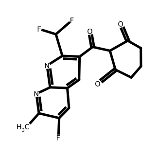 Cc1nc2nc(C(F)F)c(C(=O)C3C(=O)CCCC3=O)cc2cc1F